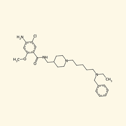 CCN(CCCCCN1CCC(CNC(=O)c2cc(Cl)c(N)cc2OC)CC1)Cc1ccccc1